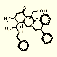 CC(NCc1ccccc1)N1[C@H]2CN(CC(c3ccccc3)c3ccccc3)C(=O)[C@H](CC(=O)O)N2C(=O)CN1C